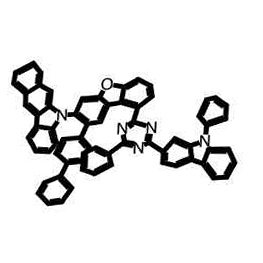 c1ccc(-c2ccc(-c3cc4c(cc3-n3c5ccccc5c5cc6ccccc6cc53)oc3cccc(-c5nc(-c6ccccc6)nc(-c6ccc7c8ccccc8n(-c8ccccc8)c7c6)n5)c34)cc2)cc1